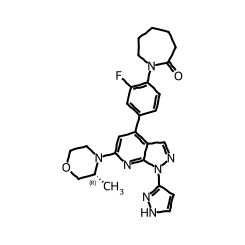 C[C@@H]1COCCN1c1cc(-c2ccc(N3CCCCCC3=O)c(F)c2)c2cnn(-c3cc[nH]n3)c2n1